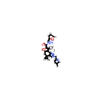 Cc1ccc(Cn2cc3c(n2)-c2c(oc(C(=O)NC=C4CCCO4)c2C(F)(F)F)CC32CC2)nc1